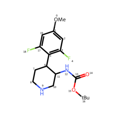 COc1cc(F)c(C2CCNCC2NC(=O)OC(C)(C)C)c(F)c1